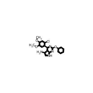 COc1cc(Cl)c(-c2nc(Oc3ccccc3)nc3[nH]cc(N)c23)cc1OC